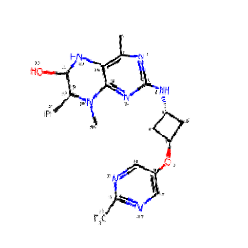 Cc1nc(N[C@H]2C[C@H](Oc3cnc(C(F)(F)F)nc3)C2)nc2c1NC(O)[C@H](C(C)C)N2C